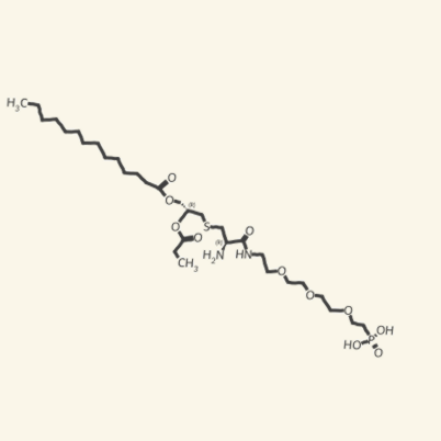 CCCCCCCCCCCCCC(=O)OC[C@H](CSC[C@H](N)C(=O)NCCOCCOCCOCCP(=O)(O)O)OC(=O)CC